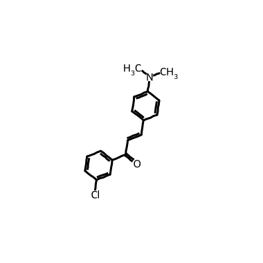 CN(C)c1ccc(C=CC(=O)c2cccc(Cl)c2)cc1